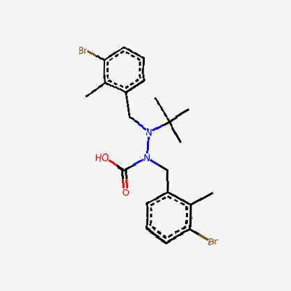 Cc1c(Br)cccc1CN(C(=O)O)N(Cc1cccc(Br)c1C)C(C)(C)C